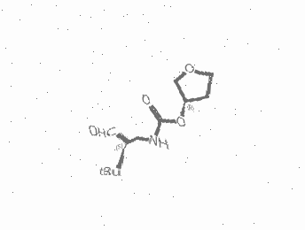 CC(C)(C)[C@@H](C=O)NC(=O)O[C@@H]1CCOC1